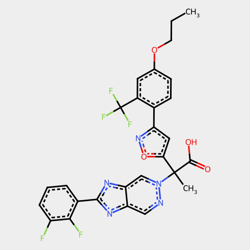 CCCOc1ccc(-c2cc(C(C)(C(=O)O)n3cc4nc(-c5cccc(F)c5F)nc-4cn3)on2)c(C(F)(F)F)c1